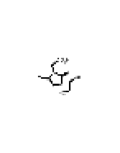 O=C(O)CN1C(=O)CCC1=O.OCCO